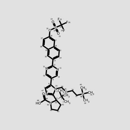 CC(C)(C)[C@]1(c2ncc(-c3cnc(-c4ccc5cc(OS(=O)(=O)C(F)(F)F)ccc5c4)nc3)n2COCC[Si](C)(C)C)CCCN1C(=O)O